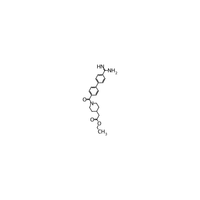 CCOC(=O)CC1CCN(C(=O)c2ccc(-c3ccc(C(=N)N)cc3)cc2)CC1